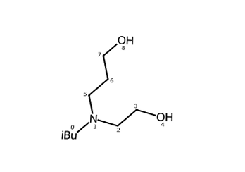 CCC(C)N(CCO)CCCO